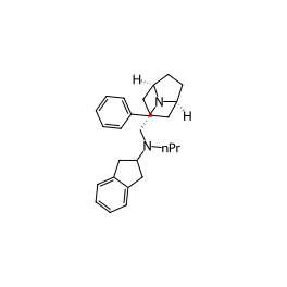 CCCN(C[C@@H]1C[C@H]2CC[C@@H](C1)N2Cc1ccccc1)C1Cc2ccccc2C1